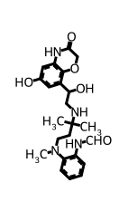 CN(CCC(C)(C)NCC(O)c1cc(O)cc2c1OCC(=O)N2)c1ccccc1NC=O